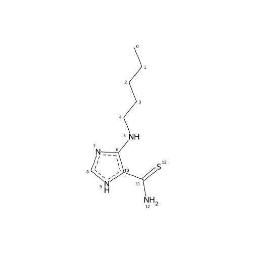 CCCCCNc1nc[nH]c1C(N)=S